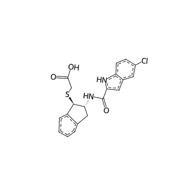 O=C(O)CS[C@@H]1c2ccccc2C[C@H]1NC(=O)c1cc2cc(Cl)ccc2[nH]1